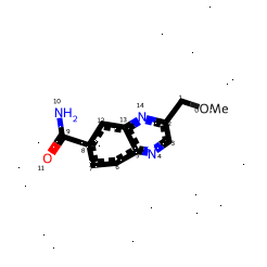 COCc1cnc2ccc(C(N)=O)cc2n1